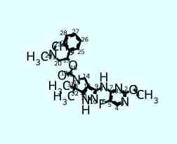 COc1ncc(F)c(Nc2n[nH]c3c2CN(C(=O)OC(CN(C)C)c2ccccc2)C3(C)C)n1